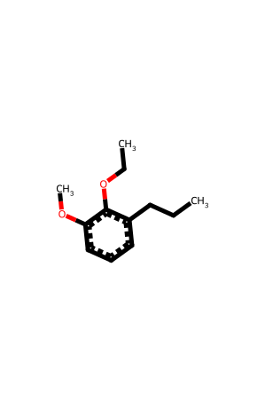 CCCc1cccc(OC)c1OCC